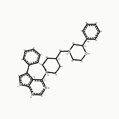 c1ccc(-c2csc3ncnc(N4CCC(CN5CCOC(c6ccccc6)C5)CC4)c23)cc1